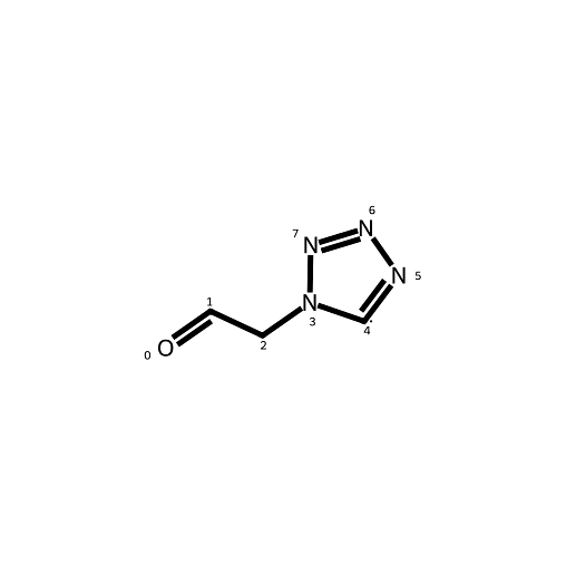 O=CCn1[c]nnn1